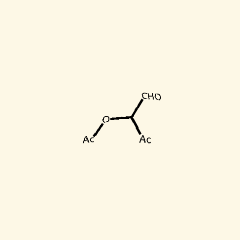 CC(=O)OC(C=O)C(C)=O